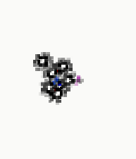 Ic1cc(-c2ccccc2)c(-n2c3ccccc3c3cc(-c4ccccc4)ccc32)c(-c2ccccc2)c1